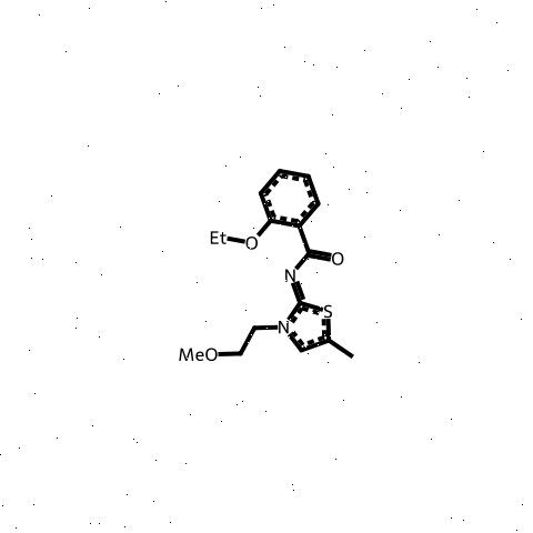 CCOc1ccccc1C(=O)/N=c1\sc(C)cn1CCOC